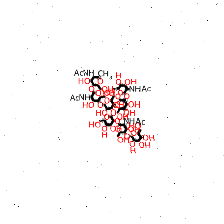 CC(=O)NC1C(O)[C@H](O)[C@H](CO)O[C@H]1O[C@@H]1C(O)[C@H](O)C(CO)O[C@@H]1OCC1O[C@@H](O[C@@H]2C(CO)O[C@@H](O[C@@H]3C(CO)O[C@@H](C)C(NC(C)=O)[C@H]3O)[C@@H](NC(C)=O)C2O)[C@H](O)C(O[C@H]2O[C@H](CO)[C@@H](O)C(O)C2O[C@@H]2OC(CO)[C@@H](O[C@@H]3OC(CO)[C@H](O)C(O)[C@@H]3O)C(O)[C@@H]2NC(C)=O)[C@@H]1O